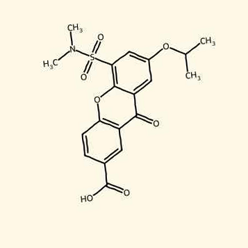 CC(C)Oc1cc(S(=O)(=O)N(C)C)c2oc3ccc(C(=O)O)cc3c(=O)c2c1